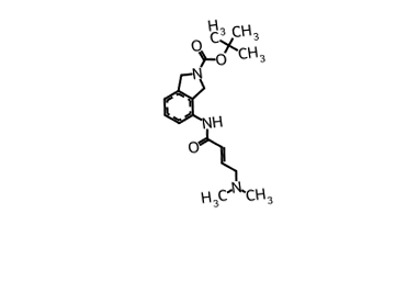 CN(C)C/C=C/C(=O)Nc1cccc2c1CN(C(=O)OC(C)(C)C)C2